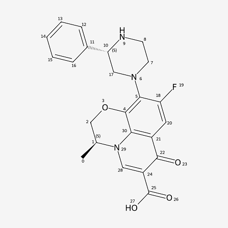 C[C@H]1COc2c(N3CCN[C@@H](c4ccccc4)C3)c(F)cc3c(=O)c(C(=O)O)cn1c23